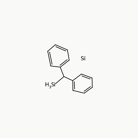 [SiH3]C(c1ccccc1)c1ccccc1.[Si]